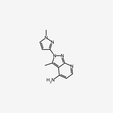 Cc1c2c(N)ccnc2nn1-c1ccn(C)n1